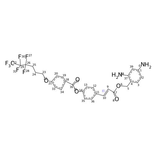 Nc1ccc(COC(=O)/C=C/c2ccc(OC(=O)c3ccc(OCCCC(F)(F)C(F)(F)C(F)(F)F)cc3)cc2)c(N)c1